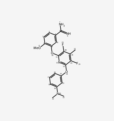 COc1ccc(C(=N)N)cc1Oc1nc(Oc2cccc(N(C)C)c2)c(F)c(C)c1F